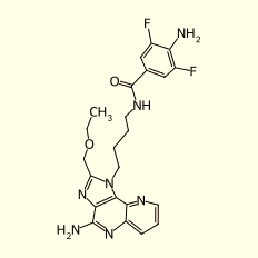 CCOCc1nc2c(N)nc3cccnc3c2n1CCCCNC(=O)c1cc(F)c(N)c(F)c1